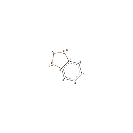 [CH]1Sc2ccccc2S1